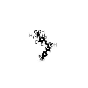 CC(C)(Oc1ccc(CCC(=NO)c2ccc(-c3ccc(C(F)(F)F)cc3)s2)c(Cl)c1Cl)C(=O)O